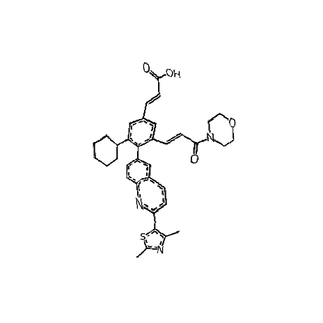 Cc1nc(C)c(-c2ccc3cc(-c4c(C=CC(=O)N5CCOCC5)cc(C=CC(=O)O)cc4C4CCCCC4)ccc3n2)s1